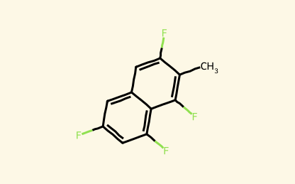 Cc1c(F)cc2cc(F)cc(F)c2c1F